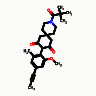 CC#Cc1cc(C)c(C2C(=O)CC3(CCN(C(=O)C(C)(C)C)CC3)CC2=O)c(OC)c1